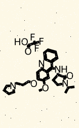 COc1cc2c(NC3CCN(C(C)C)C3=O)c3ccccc3nc2cc1OCCCN1CCCC1.O=C(O)C(F)(F)F